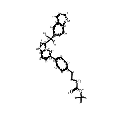 CC(C)(C)OC(=O)NCCc1ccc(-c2ccc3nnc(C(F)(F)c4ccc5ncccc5c4)n3n2)cc1